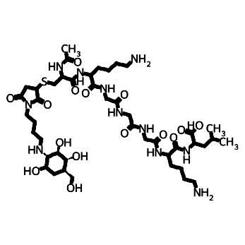 CC(=O)NC(CSC1CC(=O)N(CCCCN[C@H]2C(O)C[C@H](CO)[C@@H](O)[C@@H]2O)C1=O)C(=O)NC(CCCCN)C(=O)NCC(=O)NCC(=O)NCC(=O)NC(CCCCN)C(=O)NC(CC(C)C)C(=O)O